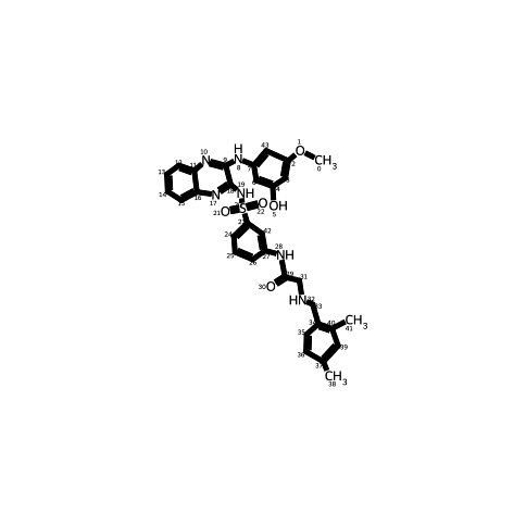 COc1cc(O)cc(Nc2nc3ccccc3nc2NS(=O)(=O)c2cccc(NC(=O)CNCc3ccc(C)cc3C)c2)c1